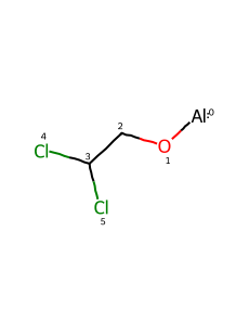 [Al][O]CC(Cl)Cl